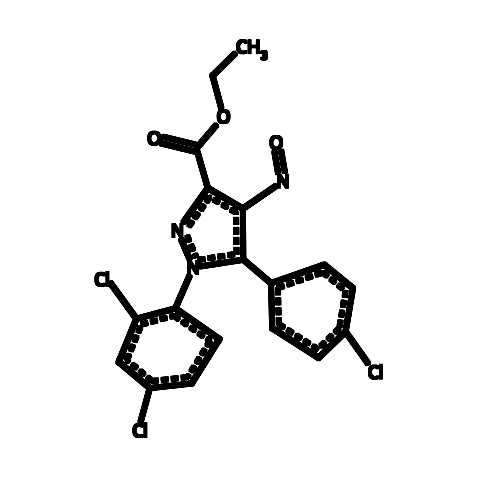 CCOC(=O)c1nn(-c2ccc(Cl)cc2Cl)c(-c2ccc(Cl)cc2)c1N=O